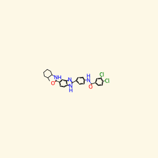 CC1CCCCC1NC(=O)c1ccc2[nH]c(-c3ccc(NC(=O)c4ccc(Cl)c(Cl)c4)cc3)nc2c1